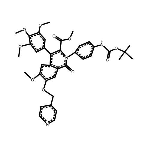 COC(=O)c1c(-c2cc(OC)c(OC)c(OC)c2)c2cc(OC)c(OCc3ccncc3)cc2c(=O)n1-c1ccc(NC(=O)OC(C)(C)C)cc1